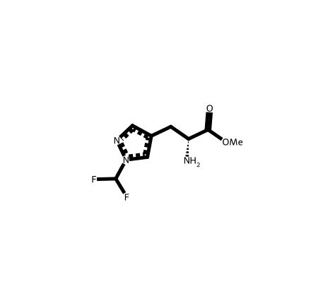 COC(=O)[C@H](N)Cc1cnn(C(F)F)c1